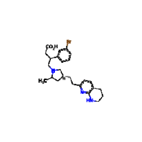 CC1C[C@@H](CCc2ccc3c(n2)NCCC3)CN1CC(CC(=O)O)c1cccc(Br)c1